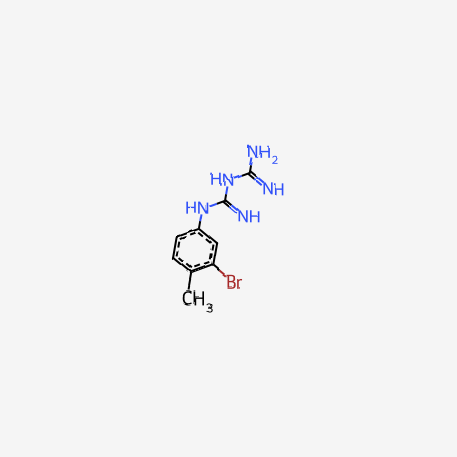 Cc1ccc(NC(=N)NC(=N)N)cc1Br